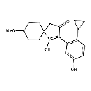 COC1CCC2(CC1)CC(=O)C(c1cc(O)ccc1C1CC1)=C2O